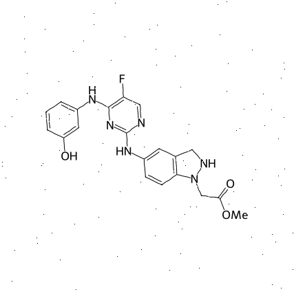 COC(=O)CN1NCc2cc(Nc3ncc(F)c(Nc4cccc(O)c4)n3)ccc21